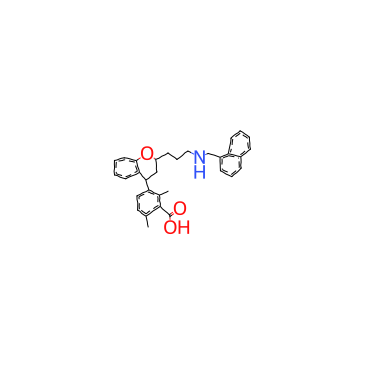 Cc1ccc(C2CC(CCCNCc3cccc4ccccc34)Oc3ccccc32)c(C)c1C(=O)O